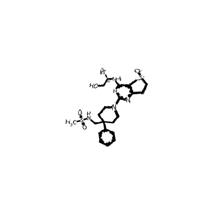 CC(C)[C@H](CO)Nc1nc(N2CCC(CNS(C)(=O)=O)(c3ccccc3)CC2)nc2c1[S+]([O-])CC2